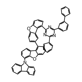 c1ccc(-c2cccc(-c3nc(-c4ccccc4)nc(-c4cccc5oc6ccc(-c7cccc8oc9c(-n%10c%11ccccc%11c%11ccccc%11%10)cccc9c78)cc6c45)n3)c2)cc1